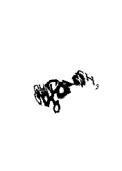 CN1CCN(Cc2cn3c4c(cccc24)-c2c(C4CCCCC4)c4ccc(C(=O)O)cc4n2CCC3)CC1